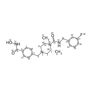 C[C@@H]1CN(Cc2ccc(C(=O)NO)cc2)C[C@H](C)N1C(=O)NCc1cccc(F)c1